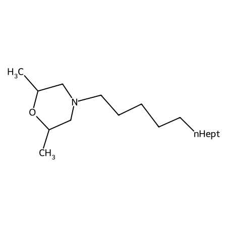 CCCCCCCCCCCCN1CC(C)OC(C)C1